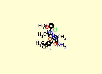 COc1cccc(Cl)c1-c1nc(C)c(COc2cc(C(C)C)ccc2C)c(N2CCN(CC(N)=O)[C@H](C)C2)n1